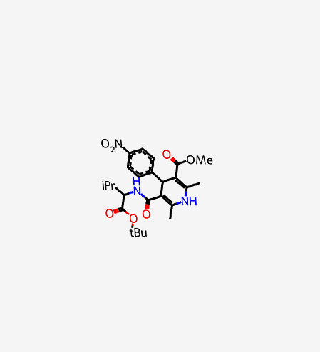 COC(=O)C1=C(C)NC(C)=C(C(=O)NC(C(=O)OC(C)(C)C)C(C)C)C1c1ccc([N+](=O)[O-])cc1